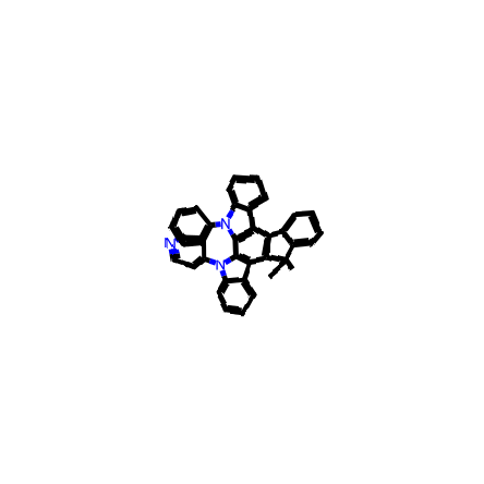 CC1(C)c2ccccc2-c2c1c1c3ccccc3n(-c3ccncc3)c1c1c2c2ccccc2n1-c1ccccc1